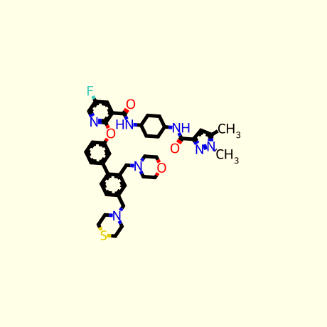 Cc1cc(C(=O)NC2CCC(NC(=O)c3cc(F)cnc3Oc3cccc(-c4ccc(CN5CCSCC5)cc4CN4CCOCC4)c3)CC2)nn1C